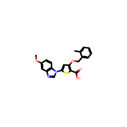 COc1ccc2c(c1)ncn2-c1cc(OCc2ccccc2C)c(C(=O)O)s1